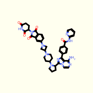 Nc1nccn2c(C3CCCN3C3CCN(C4CN(c5ccc6c(c5)C(=O)N(C5CCC(=O)NC5=O)C6=O)C4)CC3)nc(-c3ccc(C(=O)Nc4ccccn4)cc3)c12